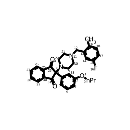 CCCOc1cccc(C2(N3CCN(Cc4cc(F)ccc4C)CC3)C(=O)c3ccccc3C2=O)c1